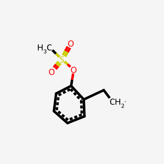 [CH2]Cc1ccccc1OS(C)(=O)=O